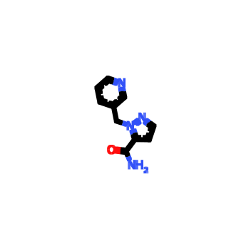 NC(=O)c1ccnn1Cc1cccnc1